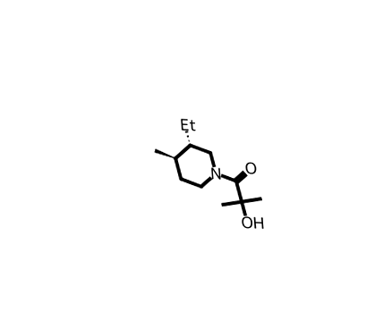 CC[C@@H]1CN(C(=O)C(C)(C)O)CC[C@H]1C